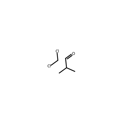 CC(C)C=O.ClCCl